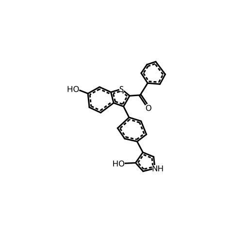 O=C(c1ccccc1)c1sc2cc(O)ccc2c1-c1ccc(-c2c[nH]cc2O)cc1